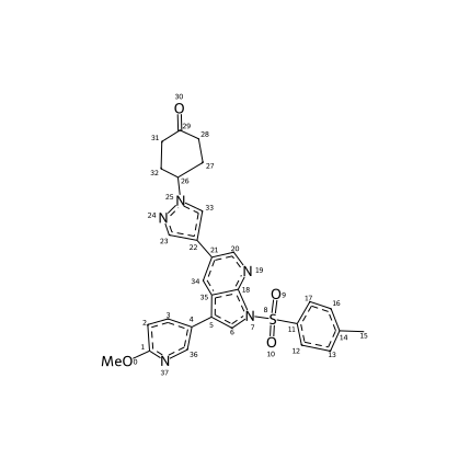 COc1ccc(-c2cn(S(=O)(=O)c3ccc(C)cc3)c3ncc(-c4cnn(C5CCC(=O)CC5)c4)cc23)cn1